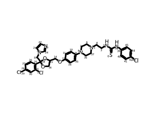 S=C(NCCN1CCN(c2ccc(OCC3COC(Cn4ccnc4)(c4ccc(Cl)cc4Cl)O3)cc2)CC1)Nc1ccc(Cl)cc1